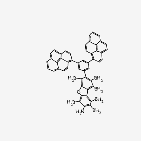 Bc1c(B)c(B)c2c(oc3c(B)c(-c4cc(-c5ccc6ccc7cccc8ccc5c6c78)cc(-c5ccc6ccc7cccc8ccc5c6c78)c4)c(B)c(B)c32)c1B